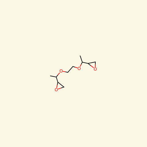 CC(OCCOC(C)C1CO1)C1CO1